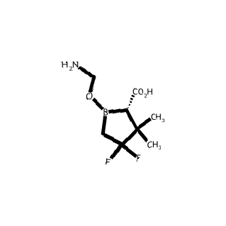 CC1(C)[C@@H](C(=O)O)B(OCN)CC1(F)F